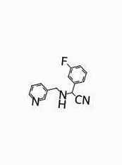 N#CC(NCc1cccnc1)c1cccc(F)c1